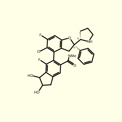 CNC(=O)c1cc2c(c(F)c1-c1c(Cl)c(F)cc3c1C[C@](c1ccccc1)([C@@H]1CCCN1)O3)C(O)C(O)C2